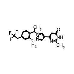 Cc1nc(-c2cnn(C(C)c3ccc(CC(F)(F)F)cc3C)c2)cc(=O)[nH]1